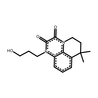 CC1(C)CCn2c(=O)c(=O)n(CCCO)c3cccc1c32